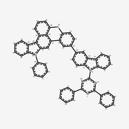 c1ccc(-c2nc(-c3ccccc3)nc(-n3c4ccccc4c4cc(-c5ccc6c(c5)-c5cc7c(c8cccc(c58)S6)c5ccccc5n7-c5ccccc5)ccc43)n2)cc1